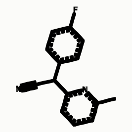 Cc1cccc(C(C#N)c2ccc(F)cc2)n1